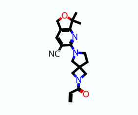 C=CC(=O)N1CC2(CCN(c3nc4c(cc3C#N)COC4(C)C)C2)C1